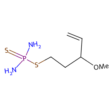 C=CC(CCSP(N)(N)=S)OC